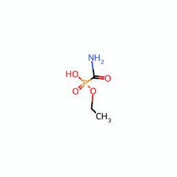 CCOP(=O)(O)C(N)=O